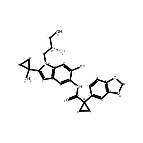 CC1(c2cc3cc(NC(=O)C4(c5ccc6c(c5)OCO6)CC4)c(F)cc3n2C[C@@H](O)CO)CC1